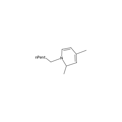 CCCCCCN1C=CC(C)=CC1C